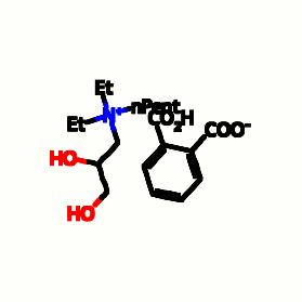 CCCCC[N+](CC)(CC)CC(O)CO.O=C([O-])c1ccccc1C(=O)O